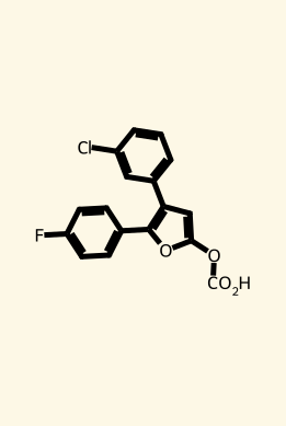 O=C(O)Oc1cc(-c2cccc(Cl)c2)c(-c2ccc(F)cc2)o1